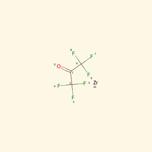 O=C(C(F)(F)F)C(F)(F)F.[Zr]